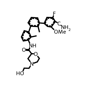 COc1cc(-c2cccc(-c3cccc(NC(=O)C4CN(CCO)CCO4)c3C)c2C)cc(F)c1CN